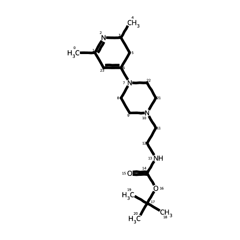 CC1=NC(C)CC(N2CCN(CCNC(=O)OC(C)(C)C)CC2)=C1